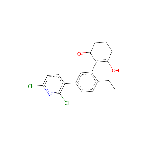 CCc1ccc(-c2ccc(Cl)nc2Cl)cc1C1=C(O)CCCC1=O